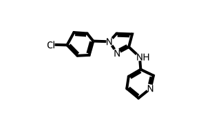 Clc1ccc(-n2ccc(Nc3cccnc3)n2)cc1